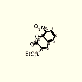 CCOC(=O)c1cc2cccc([N+](=O)[O-])c2oc1=O